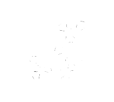 CCCC(c1ccc2c(c1)c1ccccc1n2-c1ccccc1)c1ccccc1/N=C(\C)c1cccc2oc3ccc(-c4ccc5c(c4)c4ccccc4n5-c4ccccc4)cc3c12